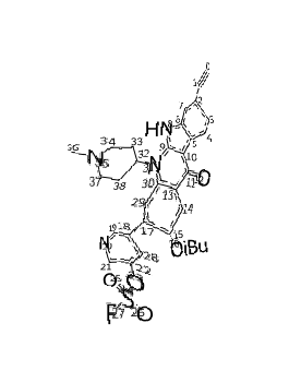 C#Cc1ccc2c(c1)[nH]c1c2c(=O)c2cc(OCC(C)C)c(-c3cncc(OS(=O)(=O)F)c3)cc2n1C1CCN(C)CC1